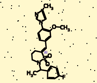 COc1cc(/C=C2\CCCN(C(C)c3ccc(F)cc3)S2(=O)=O)ccc1-n1cnc(C)c1